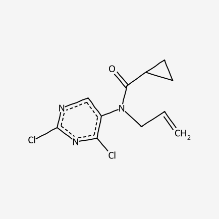 C=CCN(C(=O)C1CC1)c1cnc(Cl)nc1Cl